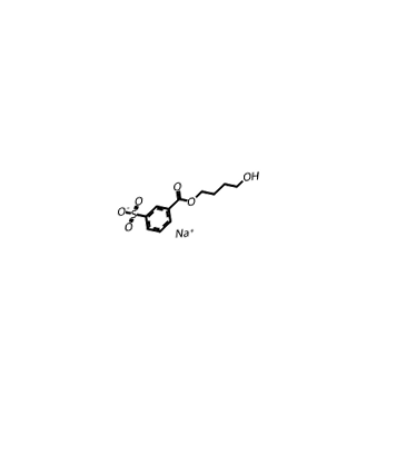 O=C(OCCCCO)c1cccc(S(=O)(=O)[O-])c1.[Na+]